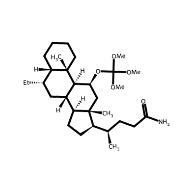 CC[C@H]1C[C@@H]2[C@H]([C@@H](OC(OC)(OC)OC)C[C@]3(C)[C@@H]([C@H](C)CCC(N)=O)CC[C@@H]23)[C@@]2(C)CCCC[C@@H]12